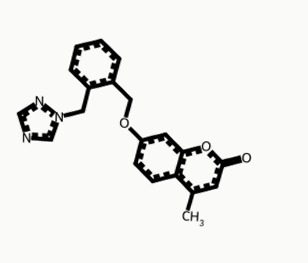 Cc1cc(=O)oc2cc(OCc3ccccc3Cn3cncn3)ccc12